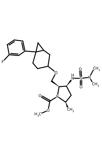 COC(=O)N1[C@H](C)C[C@H](NS(=O)(=O)N(C)C)[C@@H]1COC1CCC2(c3cccc(F)c3)CC2C1